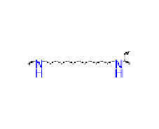 C=CNCCCCCCCCCCCCCNC(=C)C=C